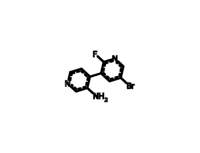 Nc1cnccc1-c1cc(Br)cnc1F